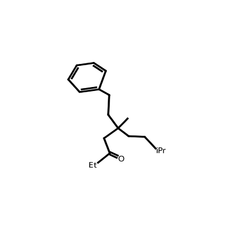 CCC(=O)CC(C)(CCc1ccccc1)CCC(C)C